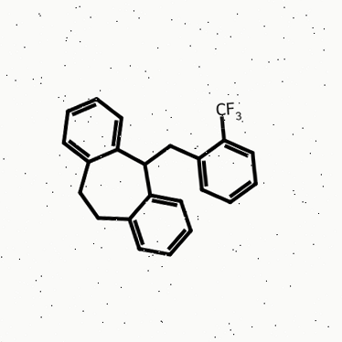 FC(F)(F)c1ccccc1CC1c2ccccc2CCc2ccccc21